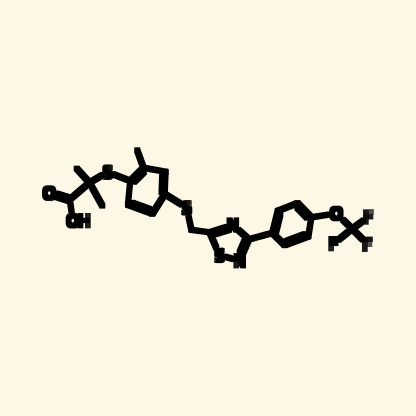 Cc1cc(SCc2nc(-c3ccc(OC(F)(F)F)cc3)ns2)ccc1SC(C)(C)C(=O)O